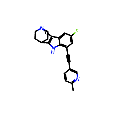 Cc1ccc(C#Cc2cc(F)cc3c4c([nH]c23)C2CCN(CC2)C4)cn1